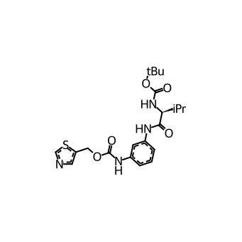 CC(C)[C@H](NC(=O)OC(C)(C)C)C(=O)Nc1cccc(NC(=O)OCc2cncs2)c1